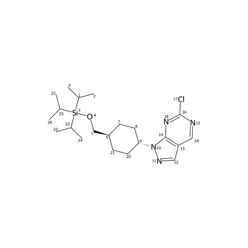 CC(C)[Si](OC[C@H]1CC[C@H](n2ncc3cnc(Cl)nc32)CC1)(C(C)C)C(C)C